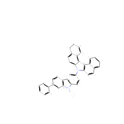 C/C=C(\C=C/c1cc2ccc(-c3ccccc3)cc2n1C)n1c2ccc3c(c2c2c4ccccc4ccc21)C=CCC3